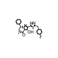 CN1CC(c2ccccc2)n2nc(-c3nnc(Cc4ccc(F)cc4)s3)c(O)c2C1=O